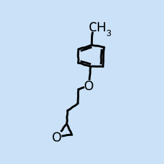 Cc1ccc(OCCCC2CO2)cc1